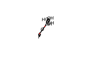 Oc1ccc2c(c1O)CC[C@@H](NCCCCCCOCCCCc1ccc(F)cc1)[C@@H]2O